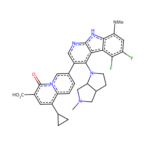 CNc1cc(F)c(F)c2c1[nH]c1ncc(-c3ccc4c(C5CC5)cc(C(=O)O)c(=O)n4c3)c(N3CCC4CN(C)CC43)c12